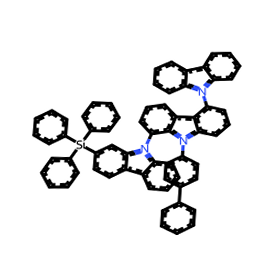 c1ccc(-c2ccc(-n3c4cccc(-n5c6ccccc6c6ccccc65)c4c4cccc(-n5c6ccccc6c6ccc([Si](c7ccccc7)(c7ccccc7)c7ccccc7)cc65)c43)cc2)cc1